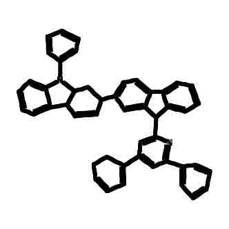 C1=CCCC(c2cc(-c3ccccc3)nc(C3c4ccccc4-c4ccc(C5C=CC6c7ccccc7N(c7ccccc7)C6C5)cc43)c2)=C1